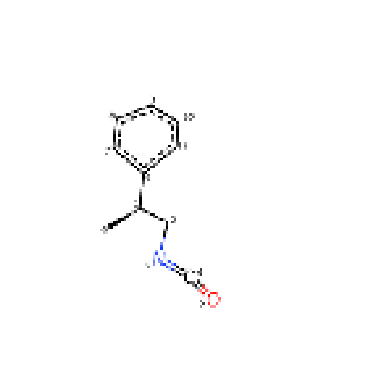 C[C@H](CN=C=O)c1ccccc1